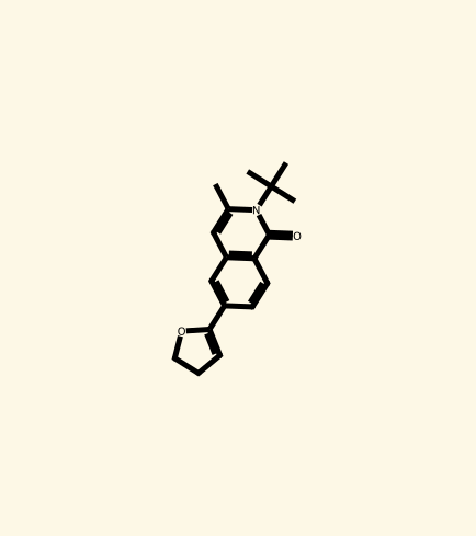 Cc1cc2cc(C3=CCCO3)ccc2c(=O)n1C(C)(C)C